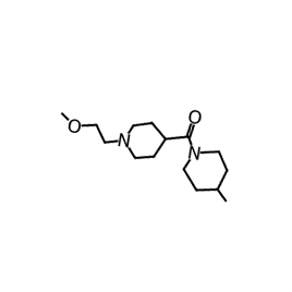 COCCN1CCC(C(=O)N2CCC(C)CC2)CC1